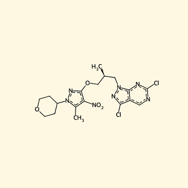 Cc1c([N+](=O)[O-])c(OC[C@@H](C)Cn2nc(Cl)c3cnc(Cl)nc32)nn1C1CCOCC1